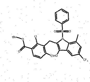 Cc1cc(C(F)(F)F)cc2c(O)c(Cc3c(Cl)ccc(C(=O)OC(C)(C)C)c3Cl)n(S(=O)(=O)c3ccccc3)c12